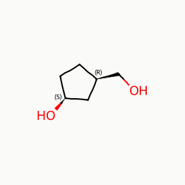 OC[C@@H]1CC[C@H](O)C1